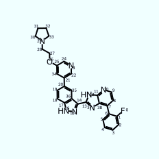 Fc1ccccc1-c1ccnc2[nH]c(-c3n[nH]c4ccc(-c5cncc(OCCN6CCCC6)c5)cc34)nc12